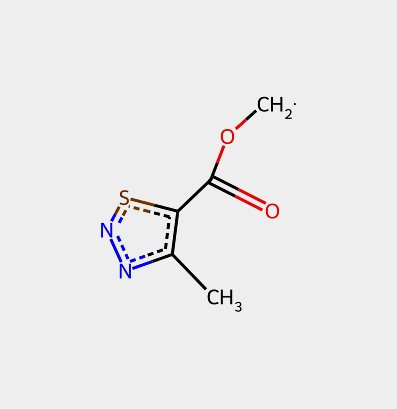 [CH2]OC(=O)c1snnc1C